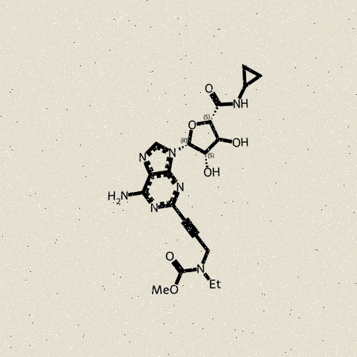 CCN(CC#Cc1nc(N)c2ncn([C@@H]3O[C@H](C(=O)NC4CC4)C(O)[C@@H]3O)c2n1)C(=O)OC